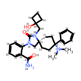 CN(C)[C@]1(c2ccccc2)CC[C@]2(CC1)CN(c1ccccc1C(N)=O)C(=O)N2CC1(O)CCC1